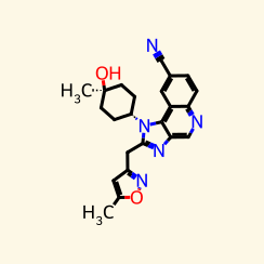 Cc1cc(Cc2nc3cnc4ccc(C#N)cc4c3n2[C@H]2CC[C@](C)(O)CC2)no1